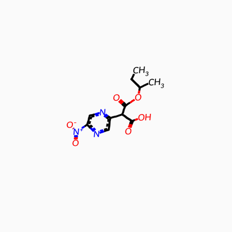 CCC(C)OC(=O)C(C(=O)O)c1cnc([N+](=O)[O-])cn1